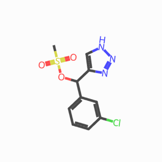 CS(=O)(=O)OC(c1cccc(Cl)c1)c1c[nH]nn1